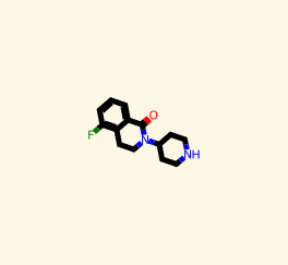 O=C1c2cccc(F)c2CCN1C1CCNCC1